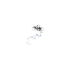 CC/C=C\C/C=C\C/C=C\C/C=C\C/C=C\C/C=C\CCC(=O)N[C@@H](C)C(=O)O[C@H](C)[C@H](N)C(=O)OC